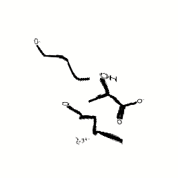 CC(O)C(=O)[O-].CCCC[O-].CCCC[O-].[Zr+3]